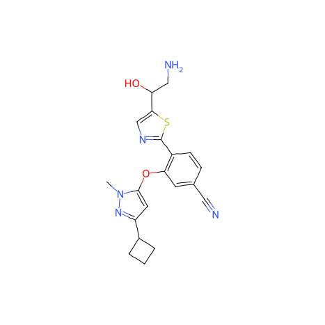 Cn1nc(C2CCC2)cc1Oc1cc(C#N)ccc1-c1ncc(C(O)CN)s1